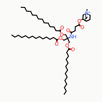 CCCCCCCCCCCCCC(=O)OCC(COC(=O)CCCCCCCCCCCCC)(COC(=O)CCCCCCCCCCCCC)NC(=O)CCC(=O)OC1C[N+]2(C)CCC1CC2